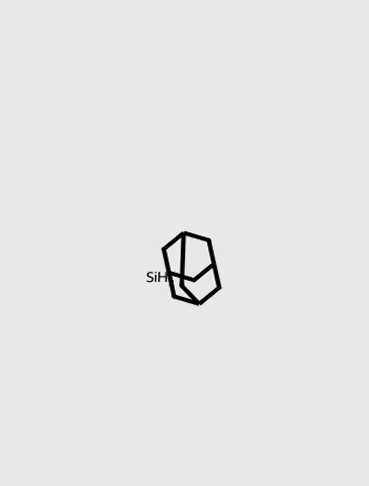 C1C2CC3CC1CC(C2)C3.[SiH4]